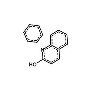 Oc1ccc2ccccc2n1.c1ccccc1